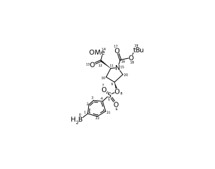 Bc1ccc(S(=O)(=O)O[C@H]2C[C@@H](C(=O)OC)N(C(=O)OC(C)(C)C)C2)cc1